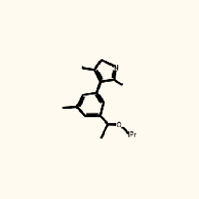 CC1=NCC(C)=C1c1cc(C)cc(C(C)OC(C)C)c1